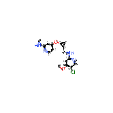 CNc1cc(OC2CC2CNc2cc(OC)c(Cl)cn2)ccn1